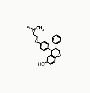 CCN(C)CCOc1ccc([C@@H]2c3cc(O)ccc3OC[C@H]2c2ccccc2)cc1